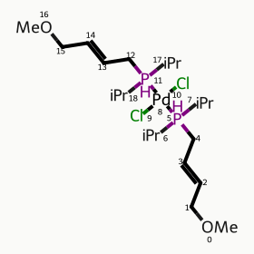 COCC=CC[PH](C(C)C)(C(C)C)[Pd]([Cl])([Cl])[PH](CC=CCOC)(C(C)C)C(C)C